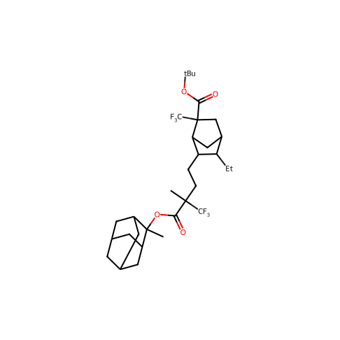 CCC1C2CC(C1CCC(C)(C(=O)OC1(C)C3CC4CC(C3)CC1C4)C(F)(F)F)C(C(=O)OC(C)(C)C)(C(F)(F)F)C2